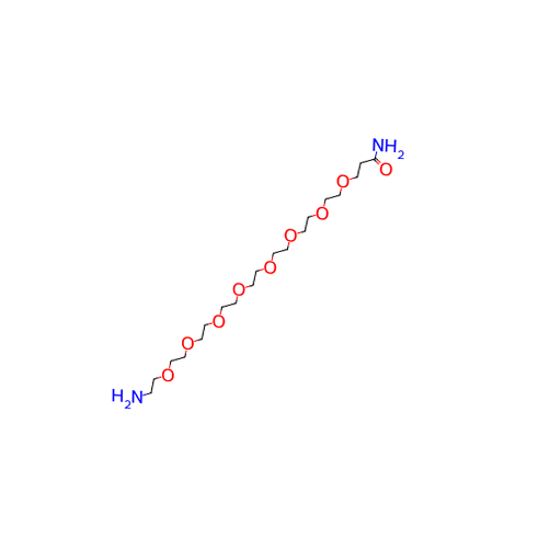 NCCOCCOCCOCCOCCOCCOCCOCCOCCC(N)=O